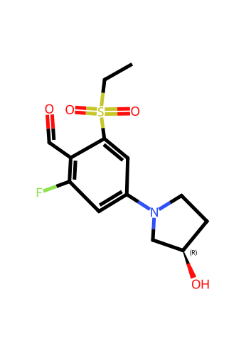 CCS(=O)(=O)c1cc(N2CC[C@@H](O)C2)cc(F)c1C=O